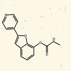 CNC(=O)Oc1cccc2cc(-c3ccncc3)oc12